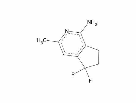 Cc1cc2c(c(N)n1)CCC2(F)F